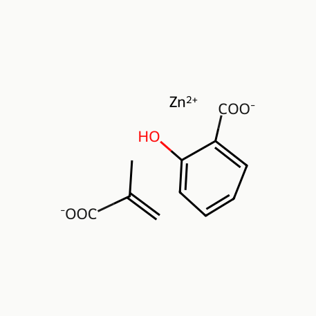 C=C(C)C(=O)[O-].O=C([O-])c1ccccc1O.[Zn+2]